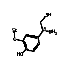 B[C@@H](CS)c1ccc(O)c(OCC)c1